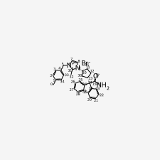 Cc1ccc(C[n+]2ccn([C@@H]3CC[C@H](C(C(N)=O)(c4ccccc4)c4ccccc4)C3)c2C)cc1.[Br-]